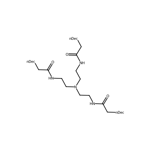 CCCCCCCCCCCC(=O)NCCN(CCNC(=O)CCCCCCCCCCC)CCNC(=O)CCCCCCCCCCC